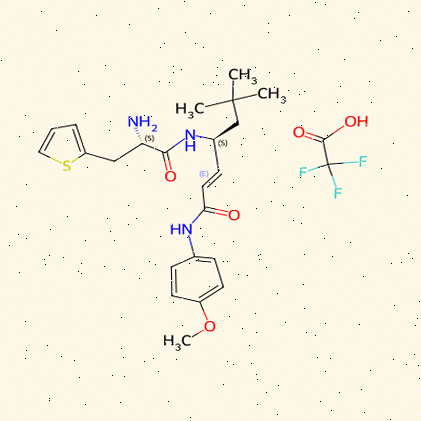 COc1ccc(NC(=O)/C=C/[C@H](CC(C)(C)C)NC(=O)[C@@H](N)Cc2cccs2)cc1.O=C(O)C(F)(F)F